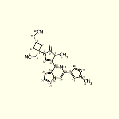 CC1NN([C@]2(CC#N)C[C@@H](CC#N)C2)C=C1c1nc(-c2cnn(C)c2)cn2nccc12